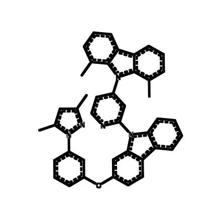 Cc1cc(C)n(-c2cccc(Oc3ccc4c5ccccc5n(-c5cc(-n6c7c(C)cccc7c7cccc(C)c76)ccn5)c4c3)c2)n1